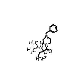 CC(C)NC1(C(=O)N2CCN(Cc3ccccc3)CC2)CCNCC1